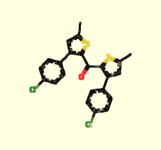 Cc1cc(-c2ccc(Cl)cc2)c(C(=O)c2sc(C)cc2-c2ccc(Cl)cc2)s1